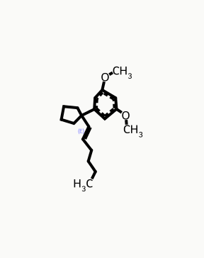 CCCC/C=C/C1(c2cc(OC)cc(OC)c2)CCCC1